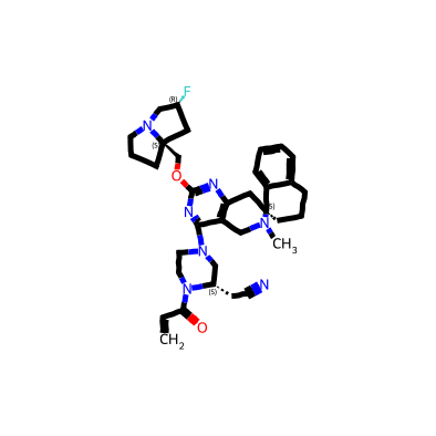 C=CC(=O)N1CCN(c2nc(OC[C@@]34CCCN3C[C@H](F)C4)nc3c2CN(C)[C@@]2(CCCc4ccccc42)C3)C[C@@H]1CC#N